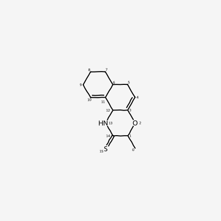 CC1OC2=CCC3CCCC=C3C2NC1=S